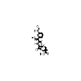 CON=C(C(=O)NC1C(=O)N2CC(C)(C(=O)O)CS[C@H]12)c1cccc(NC=O)n1